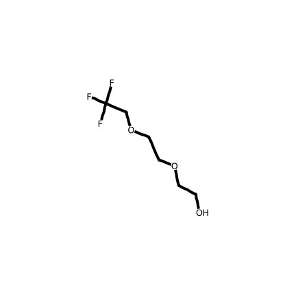 OCCOCCOCC(F)(F)F